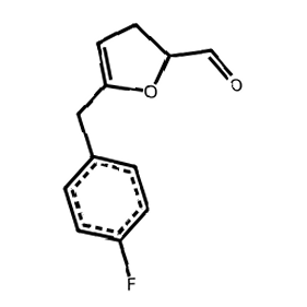 O=CC1CC=C(Cc2ccc(F)cc2)O1